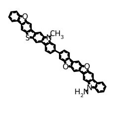 Cn1c2cc(-c3ccc4c(c3)oc3cc5c(cc34)oc3cc4c6ccccc6n(N)c4cc35)ccc2c2cc3sc4cc5c(cc4c3cc21)oc1ccccc15